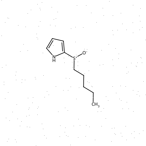 CCCCC[S+]([O-])c1ccc[nH]1